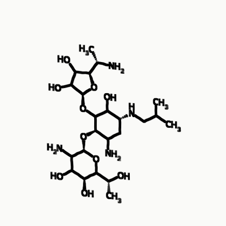 CC(C)CN[C@@H]1CC(N)[C@@H](O[C@H]2OC([C@@H](C)O)[C@@H](O)C(O)C2N)C(O[C@@H]2O[C@H]([C@H](C)N)C(O)C2O)C1O